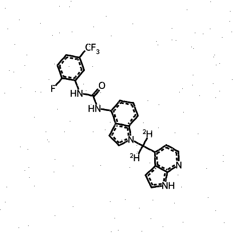 [2H]C([2H])(c1ccnc2[nH]ccc12)n1ccc2c(NC(=O)Nc3cc(C(F)(F)F)ccc3F)cccc21